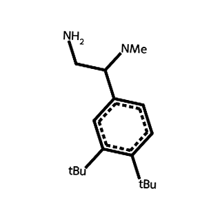 CNC(CN)c1ccc(C(C)(C)C)c(C(C)(C)C)c1